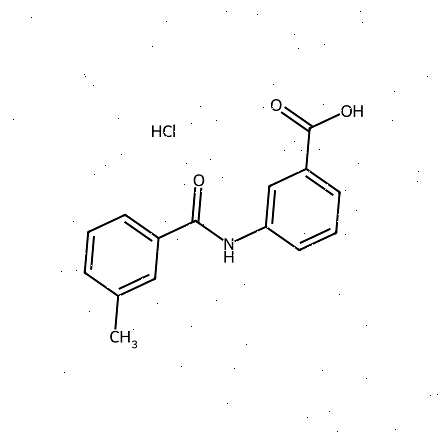 Cc1cccc(C(=O)Nc2cccc(C(=O)O)c2)c1.Cl